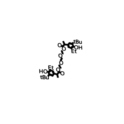 CCc1cc(C(C)C(=O)OCCOCCOCCOC(=O)C(C)c2cc(CC)c(O)c(C(C)(C)C)c2)cc(C(C)(C)C)c1O